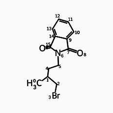 CC(CBr)CCN1C(=O)c2ccccc2C1=O